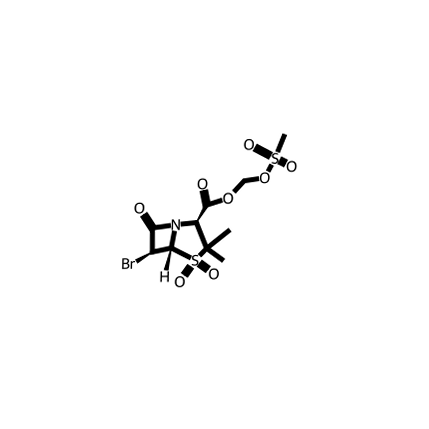 CC1(C)[C@H](C(=O)OCOS(C)(=O)=O)N2C(=O)[C@H](Br)[C@H]2S1(=O)=O